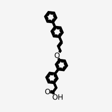 O=C(O)Cc1cccc(-c2cccc(OC/C=C/c3ccc(-c4ccccc4)cc3)c2)c1